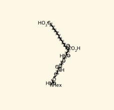 CCCCCCNC(=O)COCCOCCNC(=O)COCCOCCNC(=O)CCC(CC(=O)CCCCCCCCCCCCCCCCC(=O)O)C(=O)O